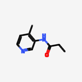 CCC(=O)Nc1cnccc1C